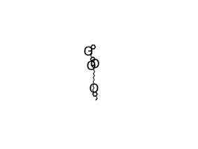 C=Cc1ccc(COCCCCCCCCCCC(=O)Oc2ccc(C=CC(=O)c3ccccc3)cc2)cc1